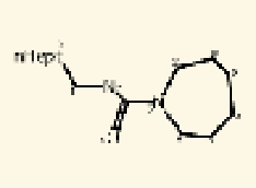 CCCCCCCC[N]C(=O)N1CCCCCC1